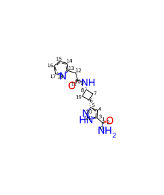 NC(=O)c1cc([C@H]2C[C@@H](NC(=O)Cc3ccccn3)C2)n[nH]1